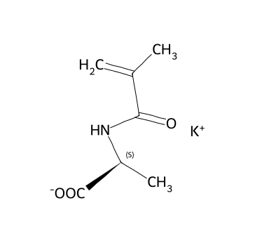 C=C(C)C(=O)N[C@@H](C)C(=O)[O-].[K+]